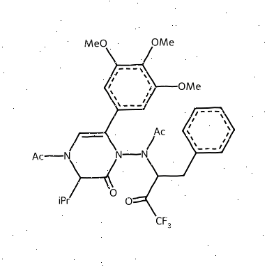 COc1cc(C2=CN(C(C)=O)C(C(C)C)C(=O)N2N(C(C)=O)C(Cc2ccccc2)C(=O)C(F)(F)F)cc(OC)c1OC